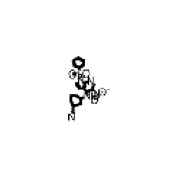 N#CC1CCCC(Nc2c([N+](=O)[O-])cnc3c2ccn3S(=O)(=O)c2ccccc2)C1